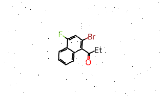 CCC(=O)c1c(Br)cc(F)c2ccccc12